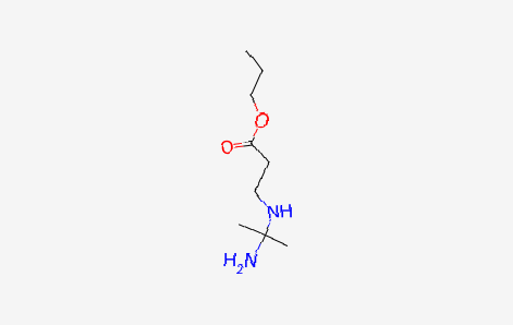 CCCOC(=O)CCNC(C)(C)N